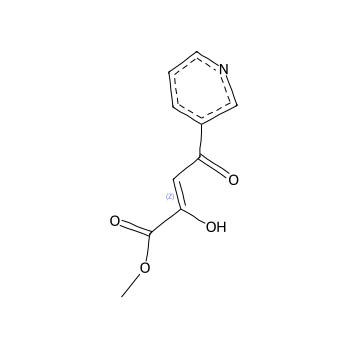 COC(=O)/C(O)=C/C(=O)c1cccnc1